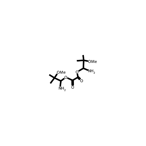 COC(C)(C)C(N)OC(=O)C(=O)OC(N)C(C)(C)OC